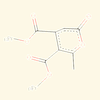 CCCOC(=O)c1cc(=O)oc(C)c1C(=O)OCCC